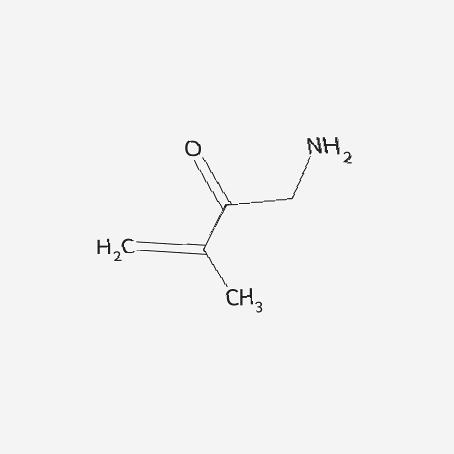 C=C(C)C(=O)CN